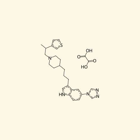 CC(CN1CCC(CCCc2c[nH]c3ccc(-n4cnnc4)cc23)CC1)c1ccsc1.O=C(O)C(=O)O